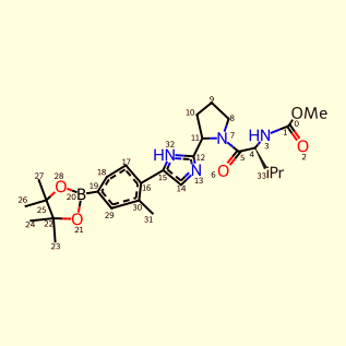 COC(=O)N[C@H](C(=O)N1CCCC1c1ncc(-c2ccc(B3OC(C)(C)C(C)(C)O3)cc2C)[nH]1)C(C)C